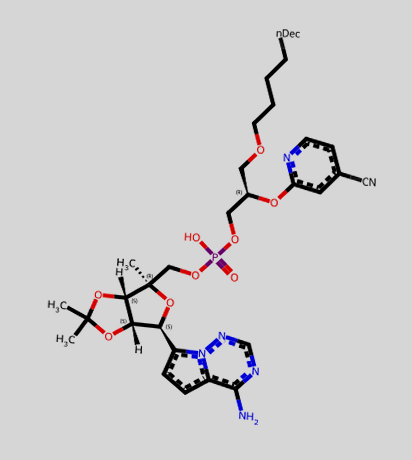 CCCCCCCCCCCCCCOC[C@H](COP(=O)(O)OC[C@@]1(C)O[C@@H](c2ccc3c(N)ncnn23)[C@@H]2OC(C)(C)O[C@@H]21)Oc1cc(C#N)ccn1